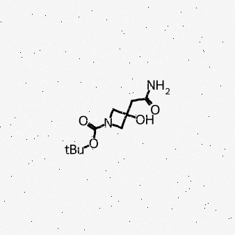 CC(C)(C)OC(=O)N1CC(O)(CC(N)=O)C1